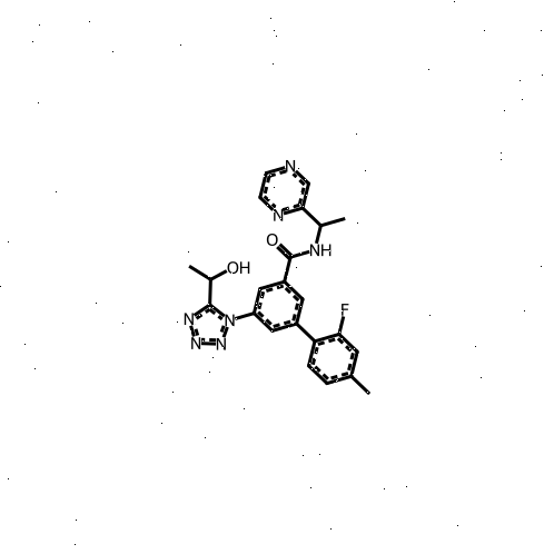 Cc1ccc(-c2cc(C(=O)NC(C)c3cnccn3)cc(-n3nnnc3C(C)O)c2)c(F)c1